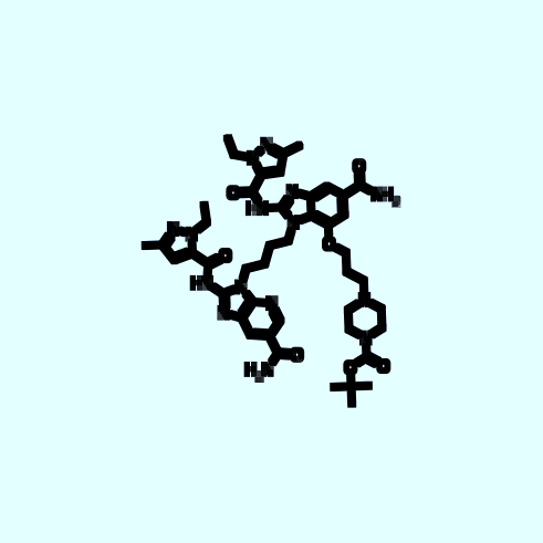 CCn1nc(C)cc1C(=O)Nc1nc2cc(C(N)=O)cnc2n1CCCCn1c(NC(=O)c2cc(C)nn2CC)nc2cc(C(N)=O)cc(OCCCN3CCN(C(=O)OC(C)(C)C)CC3)c21